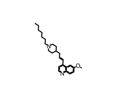 CCCCCCCN1CCC(CC=Cc2ccnc3ccc(OC)cc23)CC1